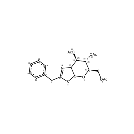 CC(=O)OC[C@H]1OC2SC(Cc3ccccc3)=NC2[C@@H](OC(C)=O)[C@@H]1OC(C)=O